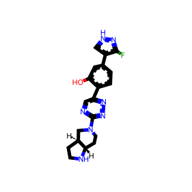 Oc1cc(-c2c[nH]nc2F)ccc1-c1cnc(N2CC[C@@H]3NCC[C@H]3C2)nn1